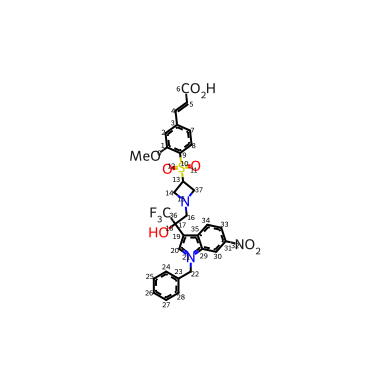 COc1cc(/C=C/C(=O)O)ccc1S(=O)(=O)C1CN(CC(O)(c2cn(Cc3ccccc3)c3cc([N+](=O)[O-])ccc23)C(F)(F)F)C1